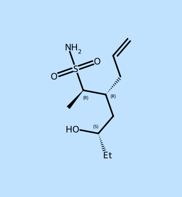 C=CC[C@H](C[C@@H](O)CC)[C@@H](C)S(N)(=O)=O